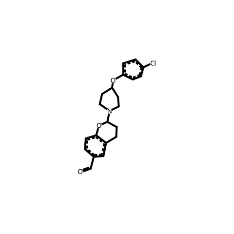 O=Cc1ccc2c(c1)CCC(N1CCC(Oc3ccc(Cl)cc3)CC1)O2